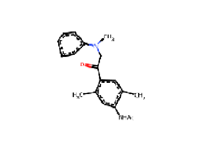 CC(=O)Nc1cc(C)c(C(=O)CN(C)c2ccccc2)cc1C